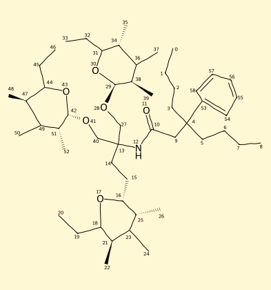 CCCCC(CCCC)(CC(=O)NC(CC[C@H]1OC(CC)[C@H](C)C(C)[C@H]1C)(CO[C@H]1OC(CC)[C@H](C)C(C)[C@H]1C)CO[C@H]1OC(CC)[C@H](C)C(C)[C@H]1C)c1ccccc1